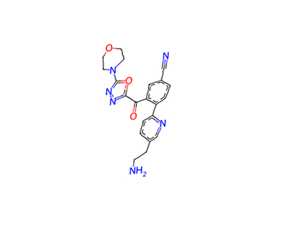 N#Cc1ccc(-c2ccc(CCN)cn2)c(C(=O)c2nnc(N3CCOCC3)o2)c1